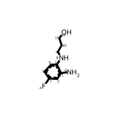 Nc1cc(F)ccc1NCCCO